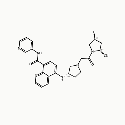 N#C[C@@H]1C[C@H](F)CN1C(=O)CN1CC[C@H](Nc2ccc(C(=O)Nc3cccnc3)c3ncccc23)C1